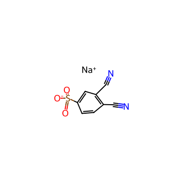 N#Cc1ccc(S(=O)(=O)[O-])cc1C#N.[Na+]